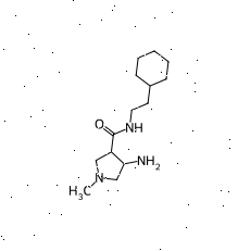 CN1CC(N)C(C(=O)NCCC2CCCCC2)C1